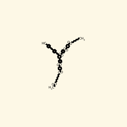 C#Cc1ccc(C#Cc2ccc(C#CC3(OC(=O)c4ccc(OC(=O)C5CCC(C(=O)OCCCCCCCC)CC5)cc4)CCC(c4ccc(OC(=O)C5CCC(C(=O)OCCCCCCCCOC(=O)C=C)CC5)cc4)CC3)cc2)cc1